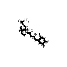 N[C@@H](CC(=O)N1CC[C@H]2CN(C(=O)C(F)(F)F)C[C@H]21)Cc1cc(F)c(F)cc1F